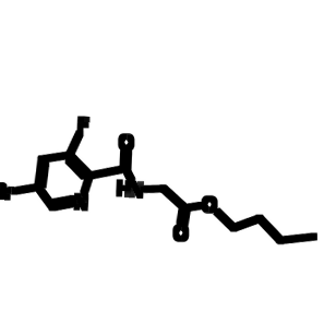 CCCCOC(=O)CNC(=O)c1ncc(Br)cc1F